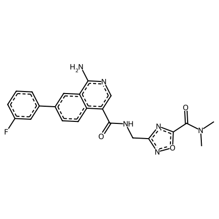 CN(C)C(=O)c1nc(CNC(=O)c2cnc(N)c3cc(-c4cccc(F)c4)ccc23)no1